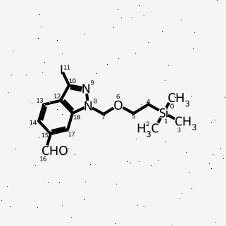 C[Si](C)(C)CCOCn1nc(I)c2ccc(C=O)cc21